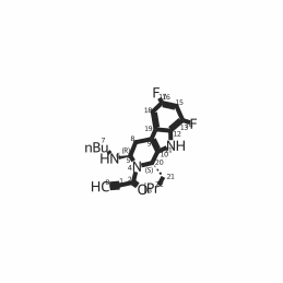 C#CC(=O)N1[C@@H](NCCCC)Cc2c([nH]c3c(F)cc(F)cc23)[C@@H]1CC(C)C